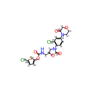 O=C(NC[C@H]1CN(c2ccc(N3CCOCC3=O)cc2Cl)C(=O)O1)Oc1ccc(Cl)s1